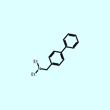 CCN(CC)Cc1ccc(-c2[c]cccc2)cc1